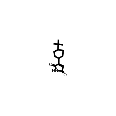 CC(C)(C)C1CCC(C2=CC(=O)NC2=O)CC1